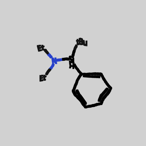 CCN(CC)[SiH](c1ccccc1)C(C)(C)C